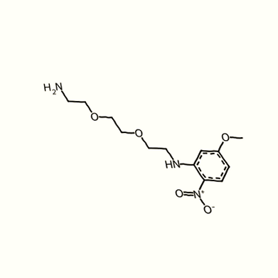 COc1ccc([N+](=O)[O-])c(NCCOCCOCCN)c1